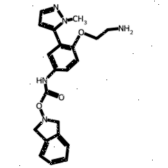 Cn1nccc1-c1cc(NC(=O)ON2Cc3ccccc3C2)ccc1OCCN